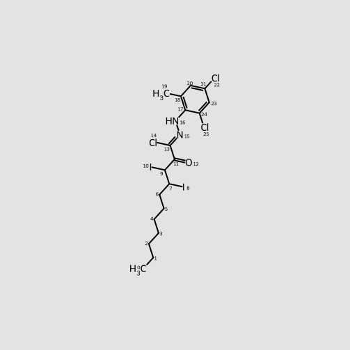 CCCCCCCC(I)C(I)C(=O)C(Cl)=NNc1c(C)cc(Cl)cc1Cl